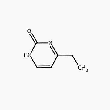 CCc1cc[nH]c(=O)n1